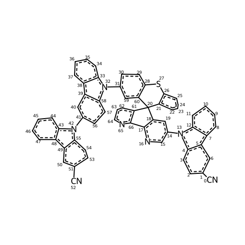 N#Cc1ccc2c(c1)c1ccccc1n2-c1cnc2c(c1)C1(c3ccccc3Sc3ccc(-n4c5ccccc5c5cc(-n6c7ccccc7c7cc(C#N)ccc76)ccc54)cc31)c1cccnc1-2